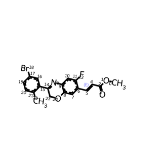 COC(=O)/C=C/c1cc2c(cc1F)N=C(c1cc(Br)ccc1C)CO2